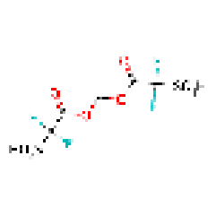 O=C(OCOC(=O)C(F)(F)S(=O)(=O)O)C(F)(F)S(=O)(=O)O